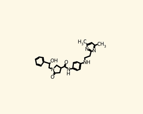 Cc1cc(C)nc(CCNc2ccc(NC(=O)C3CC(=O)N(CC(O)c4ccccc4)C3)cc2)n1